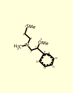 COC(CN(C)CCSC)c1ccccc1